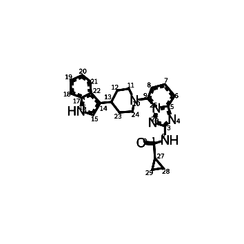 O=C(Nc1nc2cccc(N3CCC(c4c[nH]c5ccccc45)CC3)n2n1)C1CC1